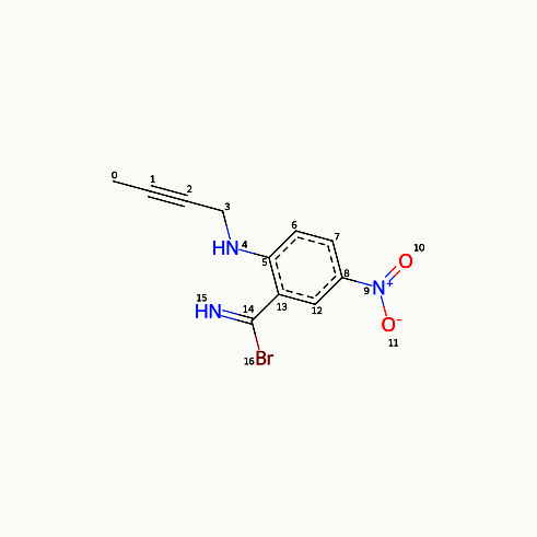 CC#CCNc1ccc([N+](=O)[O-])cc1C(=N)Br